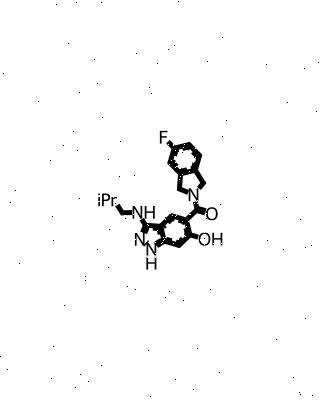 CC(C)CNc1n[nH]c2cc(O)c(C(=O)N3Cc4ccc(F)cc4C3)cc12